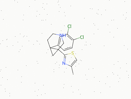 Cc1csc(C23CNCCC2(c2ccc(Cl)c(Cl)c2)C3)n1